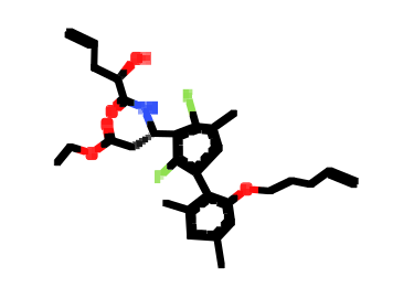 C=CCCCOc1cc(C)cc(C)c1-c1cc(C)c(F)c([C@H](CC(=O)OCC)NC(=O)[C@H](O)CC=C)c1F